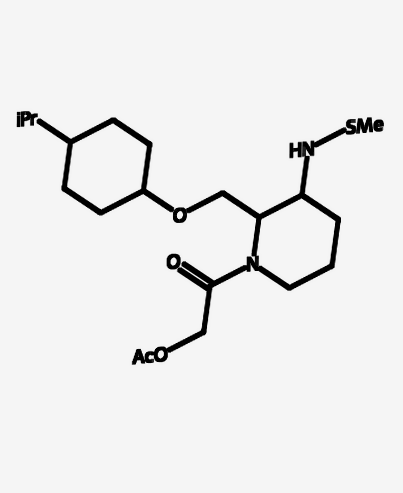 CSNC1CCCN(C(=O)COC(C)=O)C1COC1CCC(C(C)C)CC1